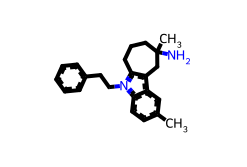 Cc1ccc2c(c1)c1c(n2CCc2ccccc2)CCCC(C)(N)C1